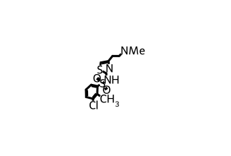 CNCCc1csc(NS(=O)(=O)c2cccc(Cl)c2C)n1